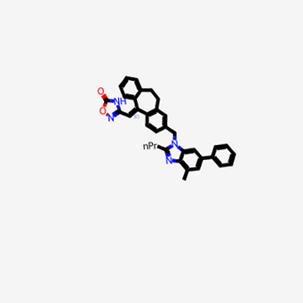 CCCc1nc2c(C)cc(-c3ccccc3)cc2n1Cc1ccc2c(c1)CCc1ccccc1/C2=C\c1noc(=O)[nH]1